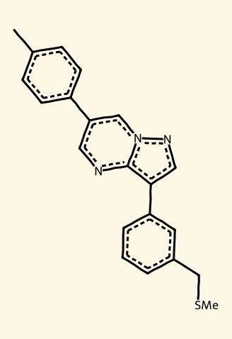 CSCc1cccc(-c2cnn3cc(-c4ccc(C)cc4)cnc23)c1